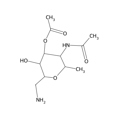 CC(=O)NC1C(C)OC(CN)C(O)C1OC(C)=O